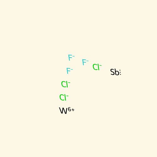 [Cl-].[Cl-].[Cl-].[F-].[F-].[F-].[Sb].[W+6]